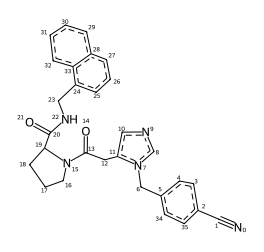 N#Cc1ccc(Cn2cncc2CC(=O)N2CCCC2C(=O)NCc2cccc3ccccc23)cc1